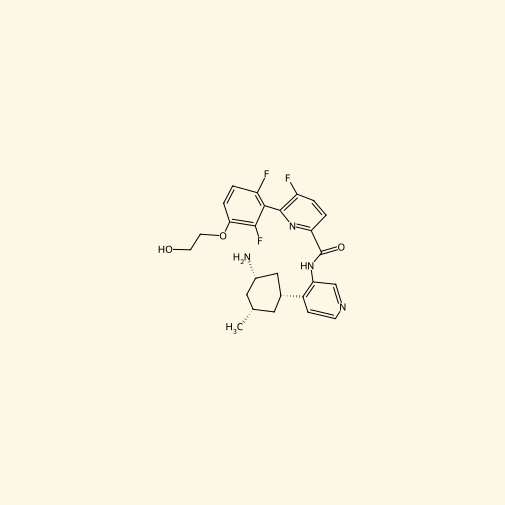 C[C@@H]1C[C@H](N)C[C@H](c2ccncc2NC(=O)c2ccc(F)c(-c3c(F)ccc(OCCO)c3F)n2)C1